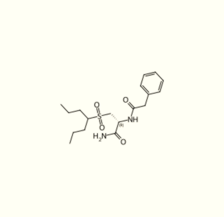 CCCC(CCC)S(=O)(=O)C[C@H](NC(=O)Cc1ccccc1)C(N)=O